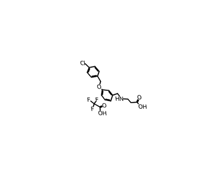 O=C(O)C(F)(F)F.O=C(O)CCNCc1cccc(OCc2ccc(Cl)cc2)c1